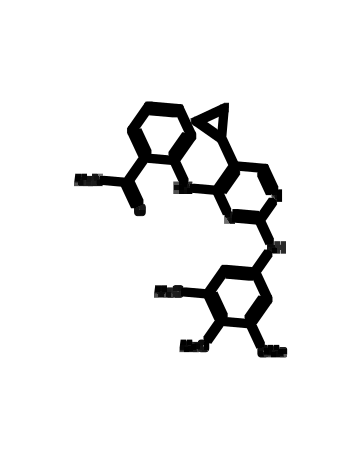 CNC(=O)c1ccccc1Nc1nc(Nc2cc(OC)c(OC)c(OC)c2)ncc1C1CC1